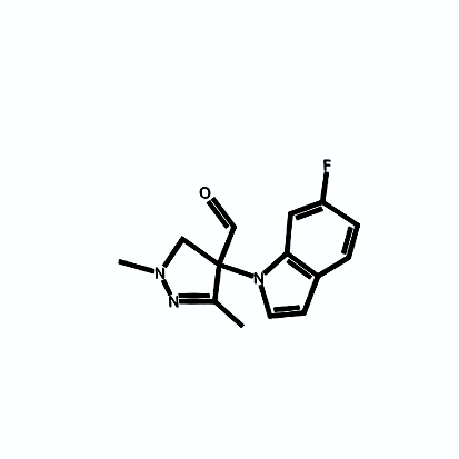 CC1=NN(C)CC1(C=O)n1ccc2ccc(F)cc21